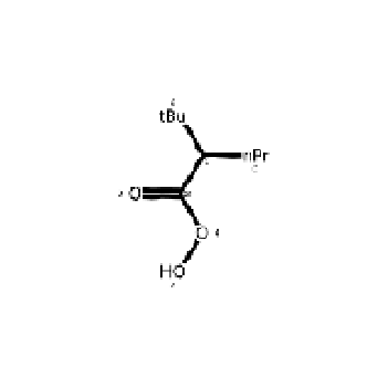 CCCC(C(=O)OO)C(C)(C)C